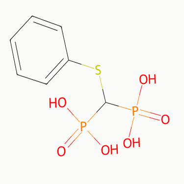 O=P(O)(O)C(Sc1ccccc1)P(=O)(O)O